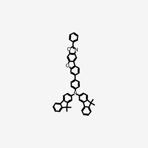 CC1(C)c2ccccc2-c2cc(N(c3ccc(-c4ccc5c(c4)oc4cc6oc(-c7ccccc7)nc6cc45)cc3)c3ccc4c(c3)C(C)(C)c3ccccc3-4)ccc21